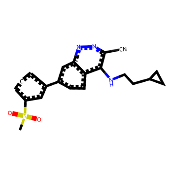 CS(=O)(=O)c1cccc(-c2ccc3c(NCCC4CC4)c(C#N)nnc3c2)c1